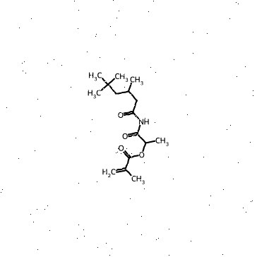 C=C(C)C(=O)OC(C)C(=O)NC(=O)CC(C)CC(C)(C)C